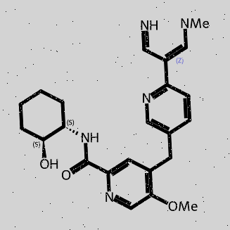 CN/C=C(\C=N)c1ccc(Cc2cc(C(=O)N[C@H]3CCCC[C@@H]3O)ncc2OC)cn1